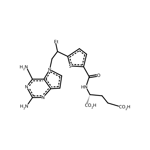 CCC(Cn1ccc2nc(N)nc(N)c21)c1ccc(C(=O)N[C@H](CCC(=O)O)C(=O)O)s1